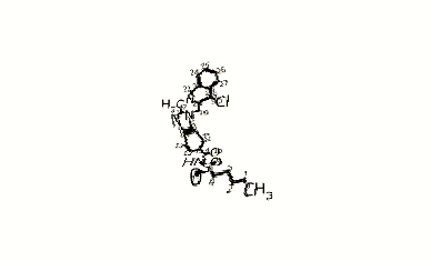 CCCCCS(=O)(=O)NC(=O)c1ccc2nc(C)n(Cc3ncc4ccccc4c3Cl)c2c1